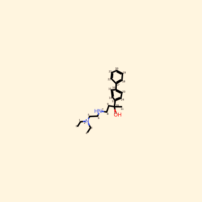 CCN(CC)CCNCCC(C)(O)c1ccc(-c2ccccc2)cc1